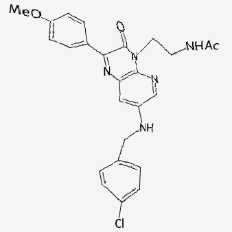 COc1ccc(-c2nc3cc(NCc4ccc(Cl)cc4)cnc3n(CCNC(C)=O)c2=O)cc1